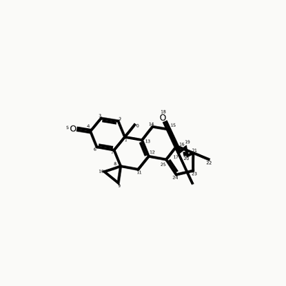 CC12C=CC(=O)C=C1C1(CC1)CC1=C2CCC23C(=O)C=CC2(C)CC=C13